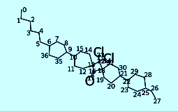 CCCCCCC1CCC(C2CCC3(CC2)C(=O)C2(CCC(C4CCC(CC)CC4)CC2)C3(Cl)Cl)CC1